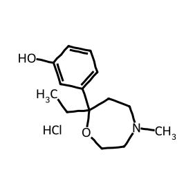 CCC1(c2cccc(O)c2)CCN(C)CCO1.Cl